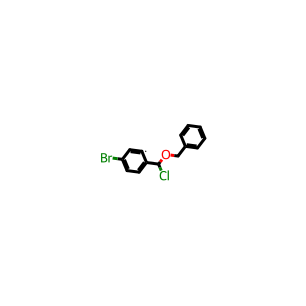 ClC(OCc1ccccc1)c1[c]cc(Br)cc1